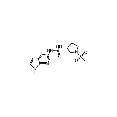 CS(=O)(=O)N1CC[C@@H](NC(=O)Nc2cnc3[nH]ccc3n2)C1